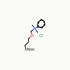 CCCCCCCCCCCCOC[N+](C)(C)c1ccccc1.[Cl-]